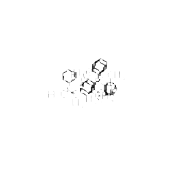 CN(C)c1ccccc1.Cc1ccccc1P(c1ccccc1C)[C]12[CH]3[CH]4[CH]5[C]1(C)[Fe]45321678[CH]2[CH]1[C]6(C)[C@@]7(P(c1ccccc1C)c1ccccc1C)[CH]28